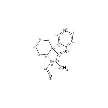 CNC(=S)[C@]1(c2cccnc2)CCCC[C@H]1CC=O